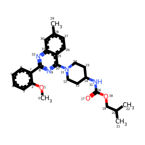 COc1ccccc1-c1nc(N2CCC(NC(=O)OCC(C)C)CC2)c2ccc(C)cc2n1